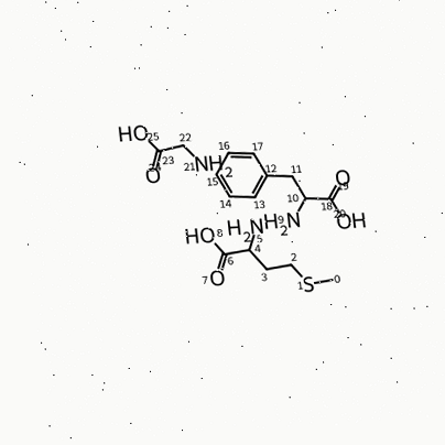 CSCCC(N)C(=O)O.NC(Cc1ccccc1)C(=O)O.NCC(=O)O